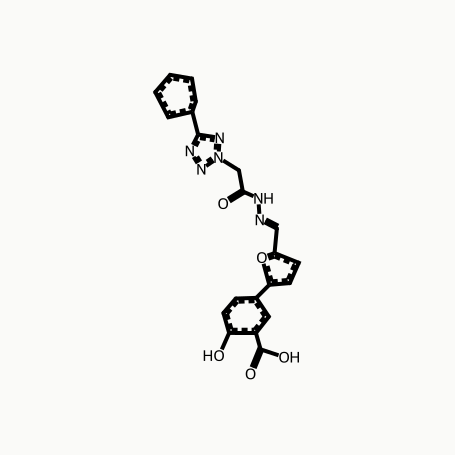 O=C(Cn1nnc(-c2ccccc2)n1)NN=Cc1ccc(-c2ccc(O)c(C(=O)O)c2)o1